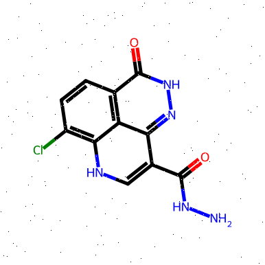 NNC(=O)C1=CNc2c(Cl)ccc3c(=O)[nH]nc1c23